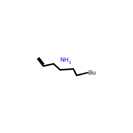 C=CCCCCC(C)CC.N